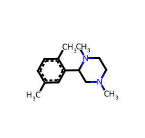 Cc1ccc(C)c(C2CN(C)CCN2C)c1